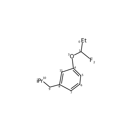 CCC(F)Oc1cccc(CC(C)C)c1